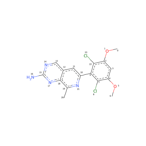 COc1cc(OC)c(Cl)c(-c2cc3cnc(N)nc3c(C)n2)c1Cl